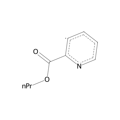 CCCOC(=O)c1[c]cccn1